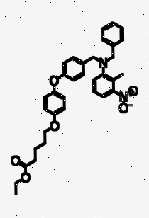 CCOC(=O)CCCCOc1ccc(Oc2ccc(CN(Cc3ccccc3)c3cccc([N+](=O)[O-])c3C)cc2)cc1